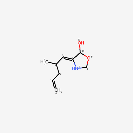 C=CCC(C)/C=C1\NCOC1O